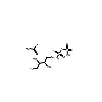 O=C(O)O.O=S(=O)(O)OS(=O)(=O)O.OCC(O)C(O)CO